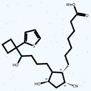 COC(=O)CCCCCC[C@H]1C(CCCC(O)C2(c3cccs3)CCC2)[C@H](O)C[C@H]1C#N